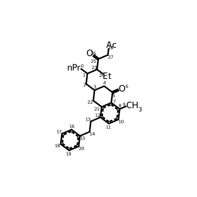 CCCC(CC1CC(=O)c2c(C)ccc(CCc3ccccc3)c2C1)C(CC)C(=O)CC(C)=O